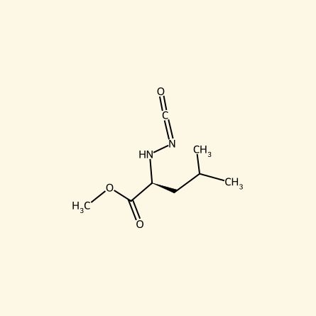 COC(=O)[C@H](CC(C)C)NN=C=O